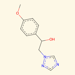 COc1ccc(C(O)Cn2cncn2)cc1